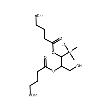 CCCCCCCCCCCCCC(=O)OC(CO)C(OC(=O)CCCCCCCCCCCCC)[N+](C)(C)CC